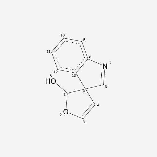 OC1OC=CC12C=Nc1ccccc12